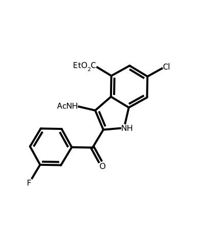 CCOC(=O)c1cc(Cl)cc2[nH]c(C(=O)c3cccc(F)c3)c(NC(C)=O)c12